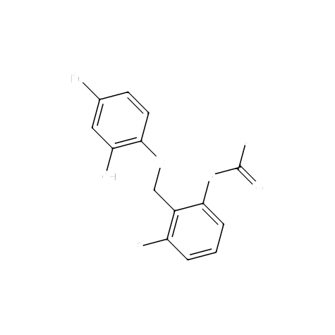 CCC(=O)Sc1cccc(F)c1COc1ccc(CC)cc1C